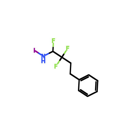 FC(NI)C(F)(F)CCc1ccccc1